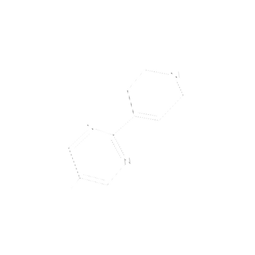 Cc1cnc(C2=CCNCC2)nc1